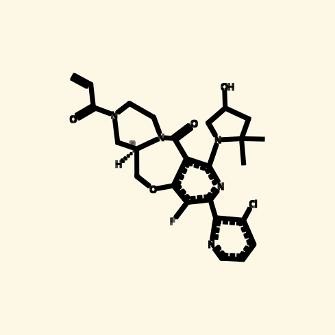 C=CC(=O)N1CCN2C(=O)c3c(N4CC(O)CC4(C)C)nc(-c4ncccc4Cl)c(F)c3OC[C@H]2C1